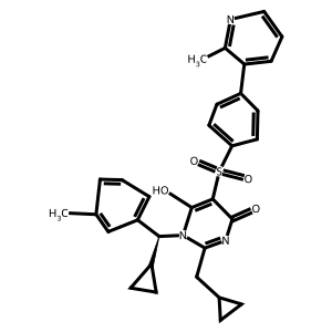 Cc1cccc([C@H](C2CC2)n2c(CC3CC3)nc(=O)c(S(=O)(=O)c3ccc(-c4cccnc4C)cc3)c2O)c1